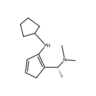 C[C@H](C1=C(PC2CCCC2)C=CC1)N(C)C